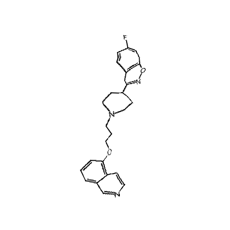 Fc1ccc2c(C3CCN(CCCOc4cccc5cnccc45)CC3)noc2c1